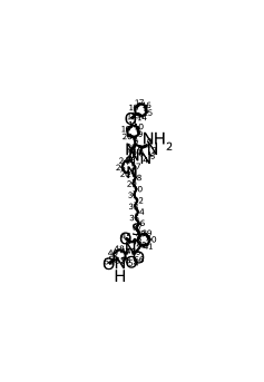 Nc1ncnc2c1c(-c1ccc(Oc3ccccc3)cc1)nn2[C@@H]1CCCN(CCCCCCCCCSc2cccc3c2C(=O)N(C2CCC(=O)NC2=O)C3=O)C1